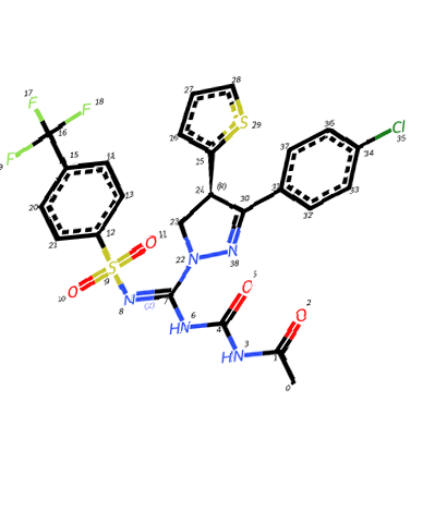 CC(=O)NC(=O)N/C(=N/S(=O)(=O)c1ccc(C(F)(F)F)cc1)N1C[C@@H](c2cccs2)C(c2ccc(Cl)cc2)=N1